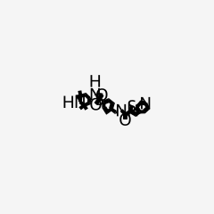 CC1(C)CC(NS(=O)(=O)c2ccc(CNC(=O)c3cc4ccncc4s3)cc2)CC(C)(C)N1